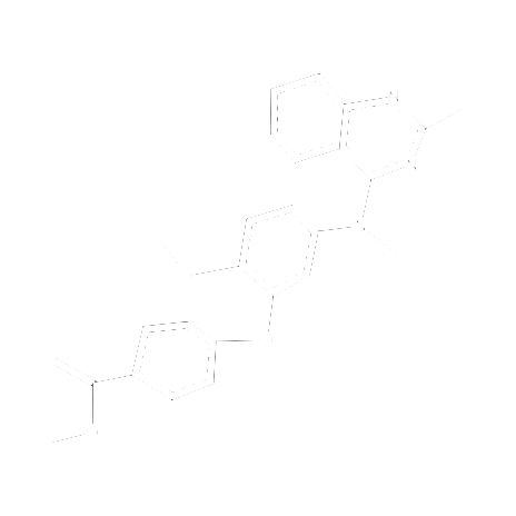 C=C(OC)c1ccc(Oc2cc(N(C)c3nc(C)nc4ccccc34)ccc2OC)cc1